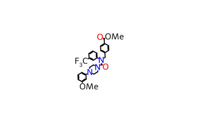 COC(=O)c1ccc(CN(C(=O)N2CCN(c3cccc(OC)c3)CC2)c2cccc(C(F)(F)F)c2)cc1